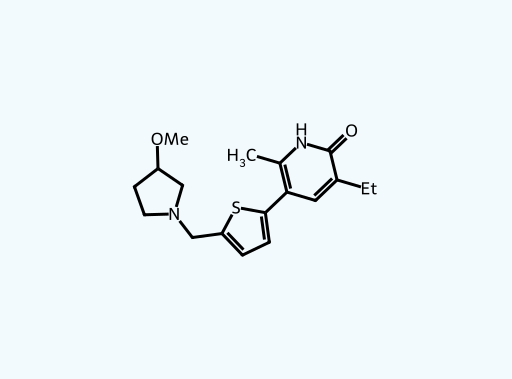 CCc1cc(-c2ccc(CN3CCC(OC)C3)s2)c(C)[nH]c1=O